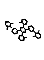 Cc1ccccc1-c1cc(-c2cccc(-c3c(C)cccc3C)c2)c(-c2ccccc2C)cc1-c1cccc(-c2c(C)cccc2C)c1